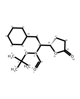 CC(C)(C)ON(C=O)[C@@H](CC1CCCCC1)[C@@H]1CCC(=O)O1